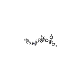 Cc1ccc(-c2cc(C(F)(F)F)nn2-c2ccc(S(=O)(=O)NC(=O)OC3CCN(/[N+]([O-])=N/OC(C)OC(=O)C(C)(C)C)CC3)cc2)cc1